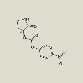 O=C(Oc1ccc([N+](=O)[O-])cc1)O[C@H]1CCNC1=O